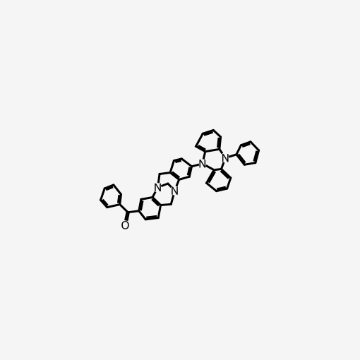 O=C(c1ccccc1)c1ccc2c(c1)N1Cc3ccc(N4c5ccccc5N(c5ccccc5)c5ccccc54)cc3N(C2)C1